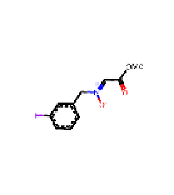 COC(=O)/C=[N+](\[O-])Cc1cccc(I)c1